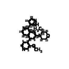 COc1cnccc1-c1cc(N2CCOC[C@H]2C)nc2c(-c3ccn[nH]3)nccc12